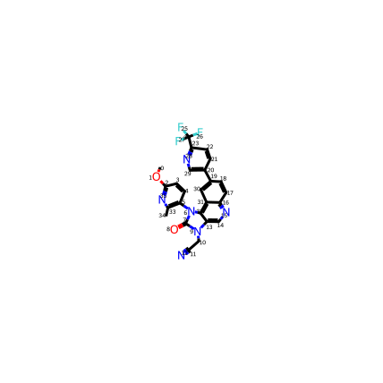 COc1ccc(-n2c(=O)n(CC#N)c3cnc4ccc(-c5ccc(C(F)(F)F)nc5)cc4c32)c(C)n1